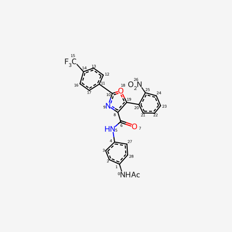 CC(=O)Nc1ccc(NC(=O)c2nc(-c3ccc(C(F)(F)F)cc3)oc2-c2ccccc2[N+](=O)[O-])cc1